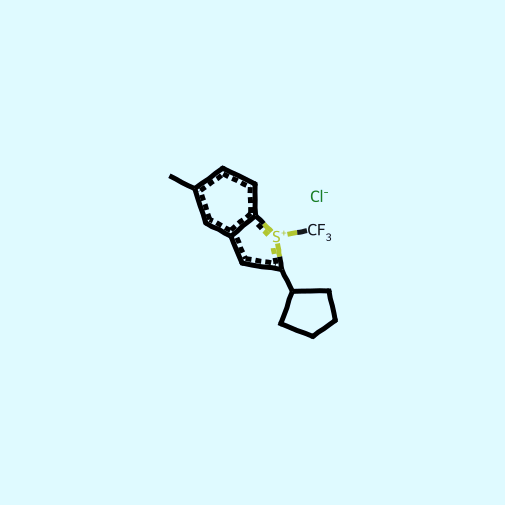 Cc1ccc2c(c1)cc(C1CCCC1)[s+]2C(F)(F)F.[Cl-]